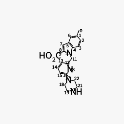 Cc1ccc2c(c1)cc(C(=O)O)n2Cc1cccc(N2CCNCC2)n1